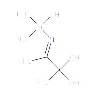 CC(=N[Si](C)(C)C)C(C)(C)O